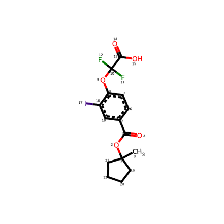 CC1(OC(=O)c2ccc(OC(F)(F)C(=O)O)c(I)c2)CCCC1